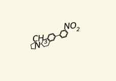 CC1CCCN1C1CCc2cc(-c3cccc([N+](=O)[O-])c3)ccc2C1